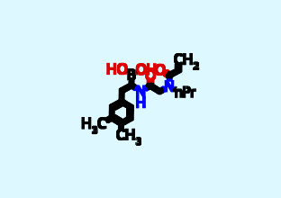 C=CC(=O)N(CCC)CC(=O)NC(Cc1ccc(C)c(C)c1)B(O)O